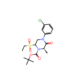 CCS(=O)(=O)C1CN(c2cccc(Cl)c2)C(=O)[C@@H](C)N1C(=O)OC(C)(C)C